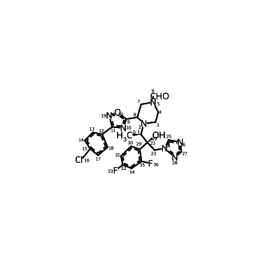 C[C@@H](N1CCN(C=O)CC1c1nc(-c2ccc(Cl)cc2)no1)[C@](O)(Cn1cncn1)c1ccc(F)cc1F